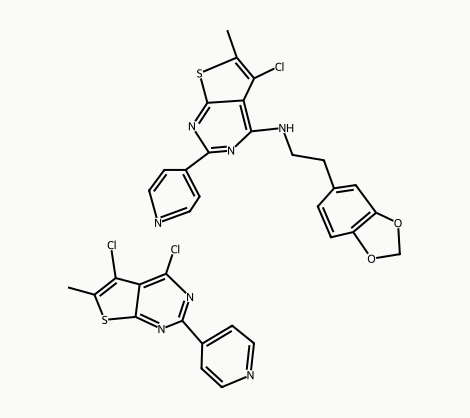 Cc1sc2nc(-c3ccncc3)nc(Cl)c2c1Cl.Cc1sc2nc(-c3ccncc3)nc(NCCc3ccc4c(c3)OCO4)c2c1Cl